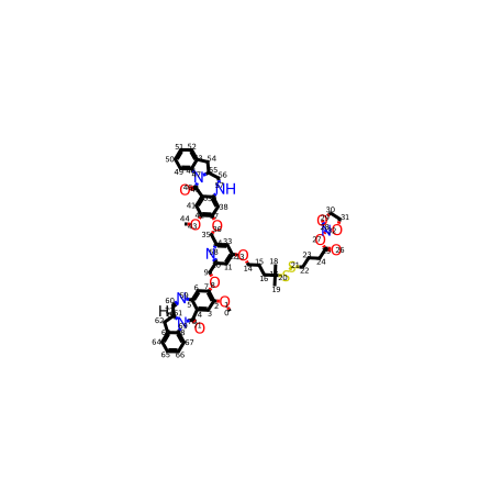 COc1cc2c(cc1OCc1cc(OCCCC(C)(C)SSCCCC(=O)ON3OCCO3)cc(COc3cc4c(cc3OC)C(=O)N3c5ccccc5CC3CN4)n1)N=C[C@@H]1Cc3ccccc3N1C2=O